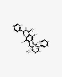 CC(NC(=O)c1ccncn1)c1cc(F)c(CN2[C@@H](C)CC[C@H](c3ccccc3)S2(=O)=O)cc1F